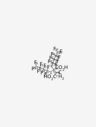 C=C(C(=O)O)C(CC(F)(F)C(F)(F)C(F)(F)C(F)F)(CC(F)(F)C(F)(F)C(F)(F)C(F)F)C(=O)O